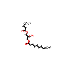 CCCCCCCCCCCCCCCCCC(=O)OCC(O)COC(=O)CCC(=O)O